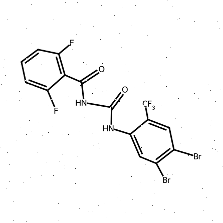 O=C(NC(=O)c1c(F)cccc1F)Nc1cc(Br)c(Br)cc1C(F)(F)F